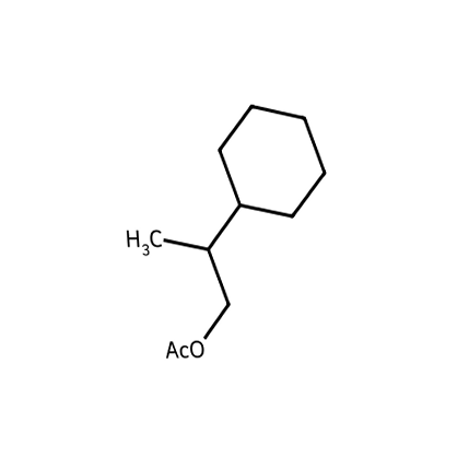 CC(=O)OCC(C)C1CCCCC1